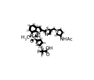 CC(=O)NC1CCN(Cc2cnc(-c3cc4cccc(N(C)S(=O)(=O)c5cccs5)c4[nH]3)s2)C1.O=C(O)C(F)(F)F